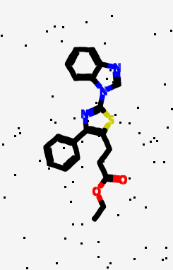 CCOC(=O)CCc1sc(-n2cnc3ccccc32)nc1-c1ccccc1